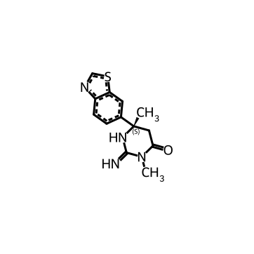 CN1C(=N)N[C@](C)(c2ccc3ncsc3c2)CC1=O